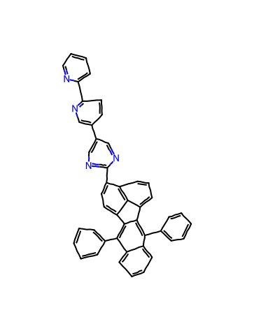 c1ccc(-c2c3c(c(-c4ccccc4)c4ccccc24)-c2ccc(-c4ncc(-c5ccc(-c6ccccn6)nc5)cn4)c4cccc-3c24)cc1